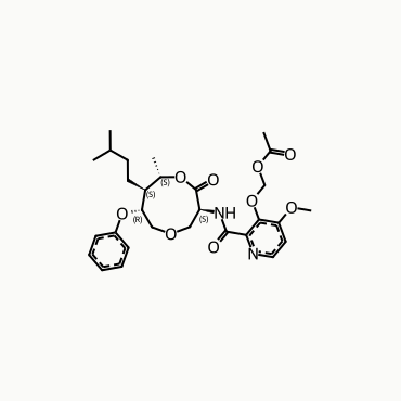 COc1ccnc(C(=O)N[C@H]2COC[C@H](Oc3ccccc3)[C@@H](CCC(C)C)[C@H](C)OC2=O)c1OCOC(C)=O